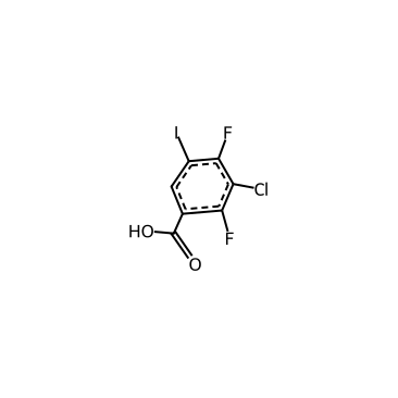 O=C(O)c1cc(I)c(F)c(Cl)c1F